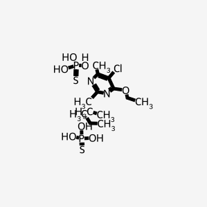 CC.CCC.CCOc1nc(C)nc(C)c1Cl.OP(O)(O)=S.OP(O)(O)=S